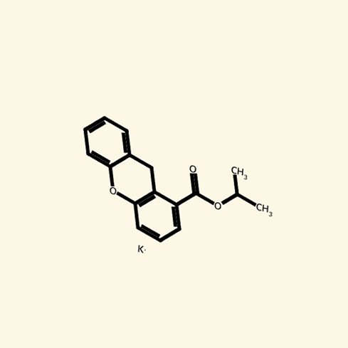 CC(C)OC(=O)c1cccc2c1Cc1ccccc1O2.[K]